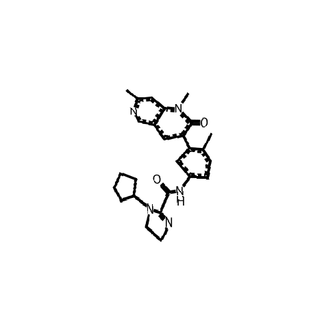 Cc1cc2c(cn1)cc(-c1cc(NC(=O)C3=NCCN3C3CCCC3)ccc1C)c(=O)n2C